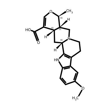 COc1ccc2[nH]c3c(c2c1)CCN1C[C@H]2[C@H](C)OC=C(C(=O)O)[C@H]2C[C@@H]31